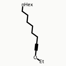 [CH2]COC#CCCCCCCCCCCCC